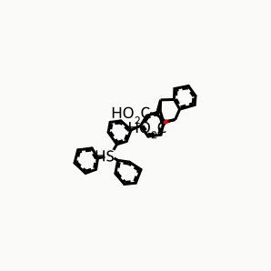 O=C(O)C1C2c3ccccc3C(c3cc(-c4cccc([SH](c5ccccc5)c5ccccc5)c4)ccc32)C1C(=O)O